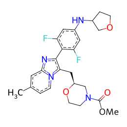 COC(=O)N1CCO[C@@H](Cc2c(-c3c(F)cc(NC4CCOC4)cc3F)nc3cc(C)ccn23)C1